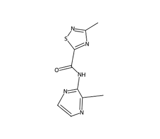 Cc1nsc(C(=O)Nc2nccnc2C)n1